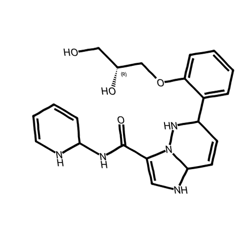 O=C(NC1C=CC=CN1)C1=CNC2C=CC(c3ccccc3OC[C@H](O)CO)NN12